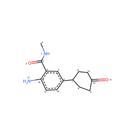 CNC(=O)c1cc(C2CCC(=O)CC2)ccc1N